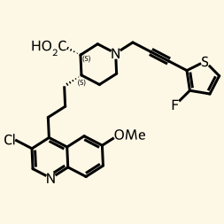 COc1ccc2ncc(Cl)c(CCC[C@H]3CCN(CC#Cc4sccc4F)C[C@H]3C(=O)O)c2c1